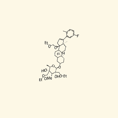 CCOCO[C@@]12CC=C(c3cc(F)ccc3C)[C@@]1(C)CC[C@@H]1[C@H]2CCC2CC(O[C@@H]3O[C@H](C)[C@](O)(COCC)[C@H](OC)[C@]3(O)COCC)CC[C@@]21C